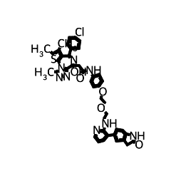 Cc1sc2c(c1C)C(c1ccc(Cl)cc1)=N[C@](O)(CC(=O)Nc1ccc(OCCOCCNc3ncccc3-c3ccc4c(c3)CC(=O)N4)cc1)c1nnc(C)n1-2